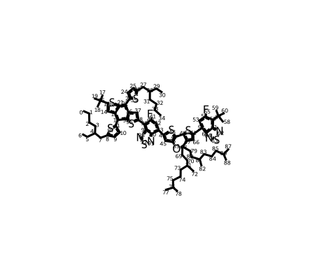 CCCCC(CC)Cc1ccc(-c2c3cc(C(C)(C)C)sc3c(-c3ccc(CC(CC)CCCC)s3)c3cc(-c4c(F)cc(-c5cc6c(s5)-c5sc(-c7cc(F)c(C(C)(C)C)c8nsnc78)cc5C(CCC(C)CCCC(C)C)(CCC(C)CCCC(C)C)O6)c5nsnc45)sc23)s1